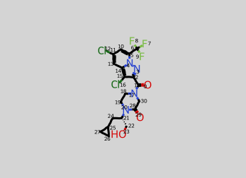 O=C(c1nn2c(C(F)(F)F)cc(Cl)cc2c1Cl)N1CCN([C@H](CO)CC2CC2)C(=O)C1